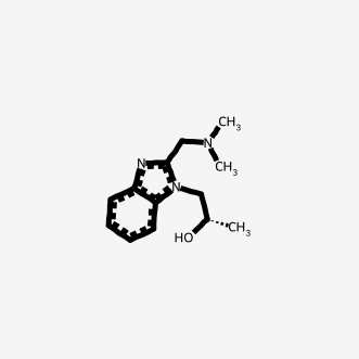 C[C@H](O)Cn1c(CN(C)C)nc2ccccc21